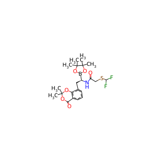 CC1(C)OC(=O)c2cccc(C[C@H](NC(=O)CSC(F)F)B3OC(C)(C)C(C)(C)O3)c2O1